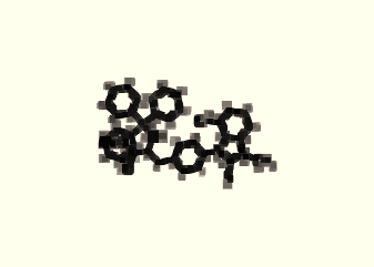 COC(=O)C(Cc1ccc(-n2c(=S)n(C)c3cccc(Cl)c32)cc1)NC(c1ccccc1)(c1ccccc1)c1ccccc1